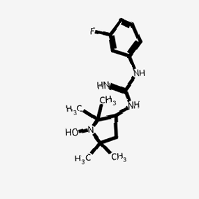 CC1(C)CC(NC(=N)Nc2cccc(F)c2)C(C)(C)N1O